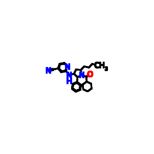 CCCCC1CC(Nc2cc(C#N)ccn2)C(c2ccccc2)N1C(=O)C1CCCCC1